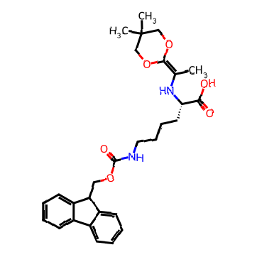 CC(N[C@@H](CCCCNC(=O)OCC1c2ccccc2-c2ccccc21)C(=O)O)=C1OCC(C)(C)CO1